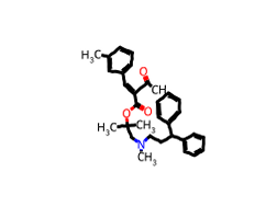 CC(=O)/C(=C\c1cccc(C)c1)C(=O)OC(C)(C)CN(C)CCC(c1ccccc1)c1ccccc1